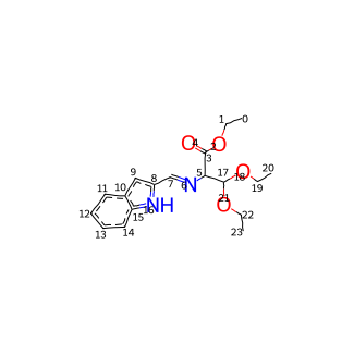 CCOC(=O)C(N=Cc1cc2ccccc2[nH]1)C(OCC)OCC